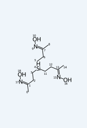 CC(CC[SiH](CCC(C)=NO)CCC(C)=NO)=NO